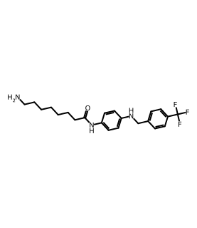 NCCCCCCCC(=O)Nc1ccc(NCc2ccc(C(F)(F)F)cc2)cc1